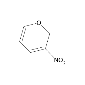 O=[N+]([O-])C1=CC=COC1